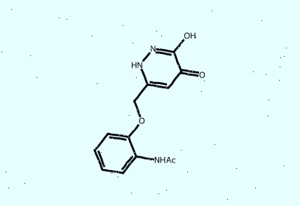 CC(=O)Nc1ccccc1OCc1cc(=O)c(O)n[nH]1